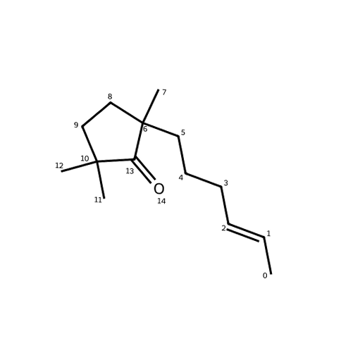 CC=CCCCC1(C)CCC(C)(C)C1=O